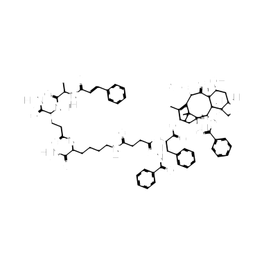 CC(=O)O[C@H]1C(=O)[C@@]2(C)[C@H]([C@H](OC(=O)c3ccccc3)[C@]3(O)C[C@H](OC(=O)[C@H](OC(=O)CCC(=O)NCCCCC(NC(=O)CC[C@H](NC(=O)C(C)NC(=O)/C=C/c4ccccc4)C(N)=O)C(N)=O)[C@@H](NC(=O)c4ccccc4)c4ccccc4)C(C)=C1C3(C)C)[C@]1(OC(C)=O)CO[C@@H]1C[C@@H]2O